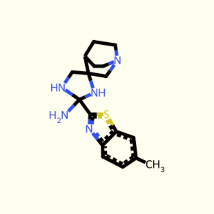 Cc1ccc2nc(C3(N)NCC4(CN5CCC4CC5)N3)sc2c1